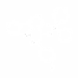 C[Si](O[C@H](C(=O)c1ccc(F)cc1)c1cccc2c1[nH]c1ccccc12)(c1ccccc1)c1ccccc1